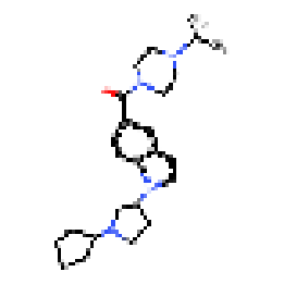 CC(C)N1CCN(C(=O)c2ccc3c(ccn3[C@H]3CCN(C4CCCC4)C3)c2)CC1